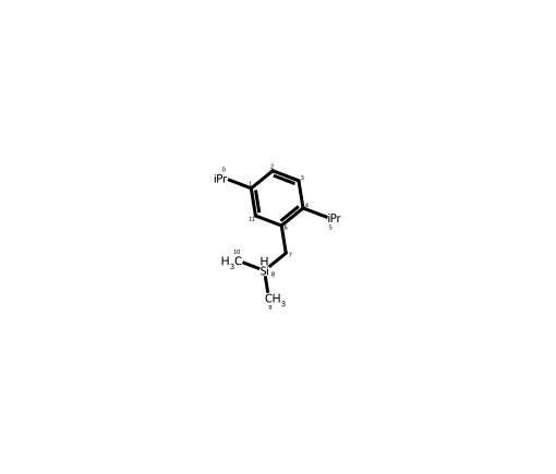 CC(C)c1ccc(C(C)C)c(C[SiH](C)C)c1